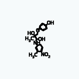 CC1=CC(NC(O)[C@@](C)(O)COc2ccc(O)cc2)CC=C1[N+](=O)[O-]